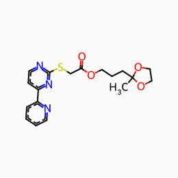 CC1(CCCOC(=O)CSc2nccc(-c3ccccn3)n2)OCCO1